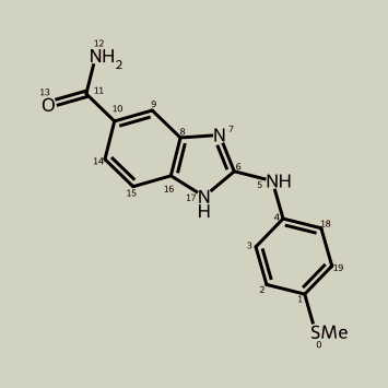 CSc1ccc(Nc2nc3cc(C(N)=O)ccc3[nH]2)cc1